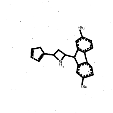 CC(C)(C)c1ccc2c(c1)C(C1CC(C3=CC=CC3)[SiH2]1)c1cc(C(C)(C)C)ccc1-2